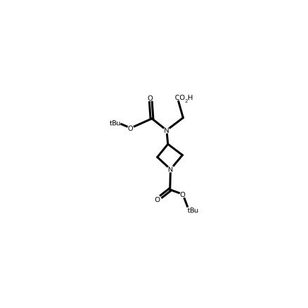 CC(C)(C)OC(=O)N1CC(N(CC(=O)O)C(=O)OC(C)(C)C)C1